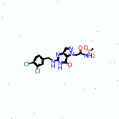 CS(=O)(=O)NC(=O)Cn1ncc2nc(NCc3ccc(Cl)c(Cl)c3)[nH]c(=O)c21